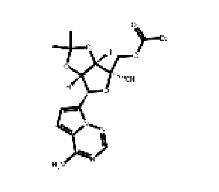 CCC(=O)OC[C@@]1(C#N)O[C@@H](c2ccc3c(N)ncnn23)[C@@H]2OC(C)(C)O[C@@H]21